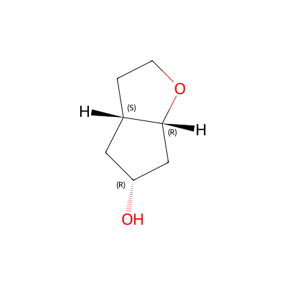 O[C@@H]1C[C@@H]2CCO[C@@H]2C1